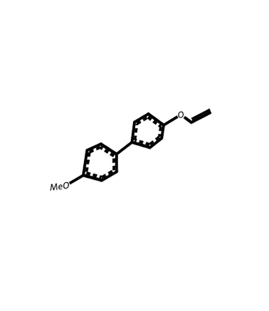 C=COc1ccc(-c2ccc(OC)cc2)cc1